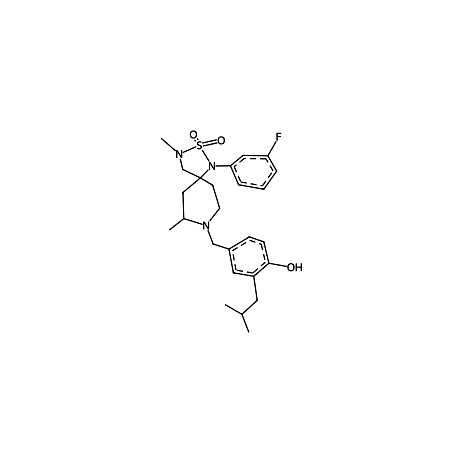 CC(C)Cc1cc(CN2CCC3(CC2C)CN(C)S(=O)(=O)N3c2cccc(F)c2)ccc1O